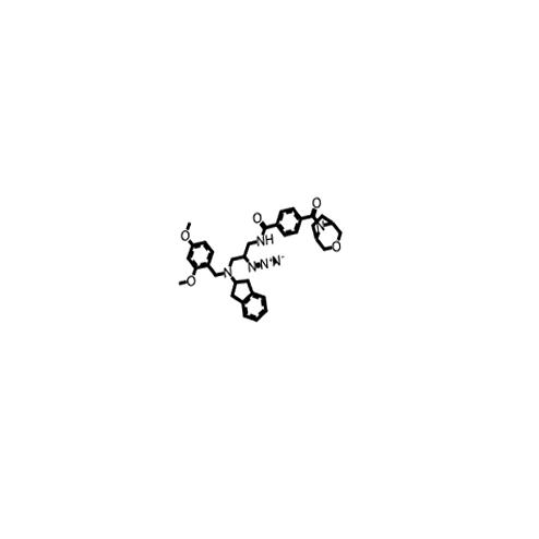 COc1ccc(CN(CC(CNC(=O)c2ccc(C(=O)N3C4CCC3COC4)cc2)N=[N+]=[N-])C2Cc3ccccc3C2)c(OC)c1